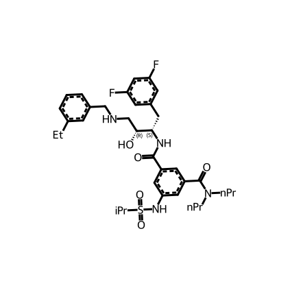 CCCN(CCC)C(=O)c1cc(NS(=O)(=O)C(C)C)cc(C(=O)N[C@@H](Cc2cc(F)cc(F)c2)[C@H](O)CNCc2cccc(CC)c2)c1